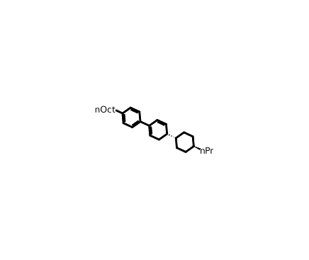 CCCCCCCCc1ccc(C2=CCC([C@H]3CC[C@H](CCC)CC3)C=C2)cc1